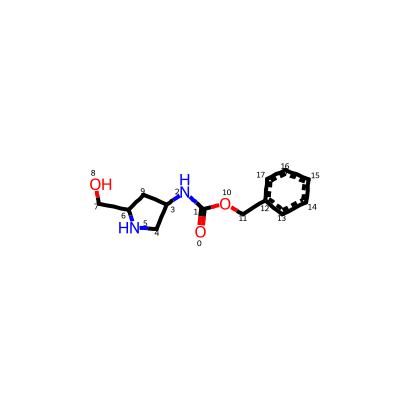 O=C(NC1CNC(CO)C1)OCc1ccccc1